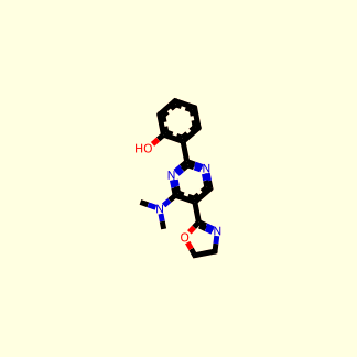 CN(C)c1nc(-c2ccccc2O)ncc1C1=NCCO1